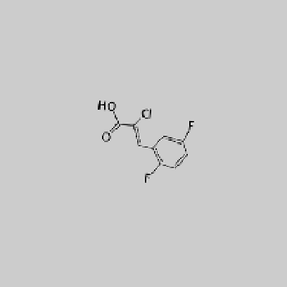 O=C(O)C(Cl)=Cc1cc(F)ccc1F